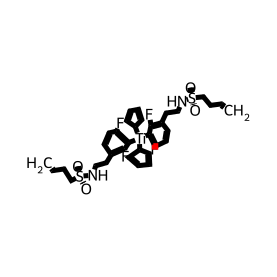 C=CCCS(=O)(=O)NCCc1ccc(F)[c]([Ti]([c]2c(F)ccc(CCNS(=O)(=O)CCC=C)c2F)([CH]2C=CC=C2)[CH]2C=CC=C2)c1F